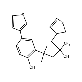 CC(C)(CC(O)(CC1C=CSC1)C(F)(F)F)c1cc(-c2ccsc2)ccc1O